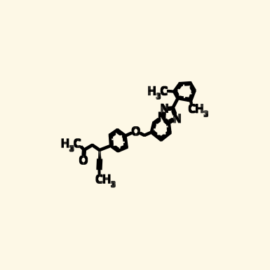 CC#C[C@@H](CC(C)=O)c1ccc(OCc2ccc3nc(-c4c(C)cccc4C)nn3c2)cc1